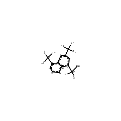 FC(F)(F)c1[c]c2c(C(F)(F)F)cccc2c(C(F)(F)F)c1